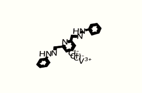 C(=NNc1ccccc1)c1cccc(C=NNc2ccccc2)n1.[Cl-].[Cl-].[Cl-].[V+3]